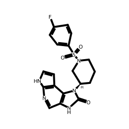 O=c1[nH]c2cnc3[nH]ccc3c2n1[C@@H]1CCCN(S(=O)(=O)c2ccc(F)cc2)C1